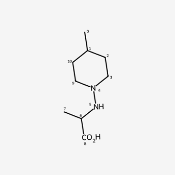 CC1CCN(NC(C)C(=O)O)CC1